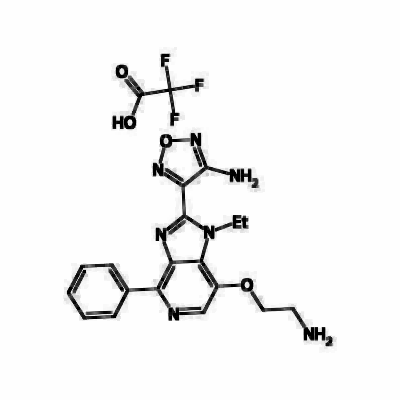 CCn1c(-c2nonc2N)nc2c(-c3ccccc3)ncc(OCCN)c21.O=C(O)C(F)(F)F